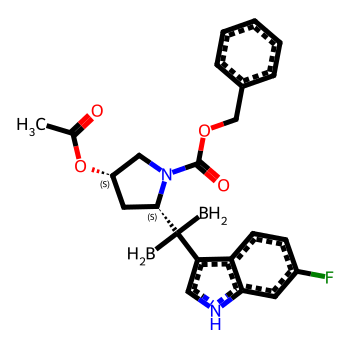 BC(B)(c1c[nH]c2cc(F)ccc12)[C@@H]1C[C@H](OC(C)=O)CN1C(=O)OCc1ccccc1